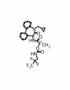 C[C@H](OC(=O)NCC(F)(F)C(F)(F)F)C(=O)N[C@@H]1C(=O)N(CC2CC2)c2ccccc2-c2ccccc21